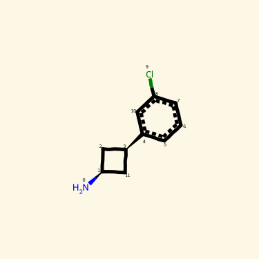 N[C@H]1C[C@@H](c2cccc(Cl)c2)C1